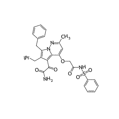 Cc1cc(OCC(=O)NS(=O)(=O)c2ccccc2)c2c(C(=O)C(N)=O)c(CC(C)C)c(Cc3ccccc3)n2n1